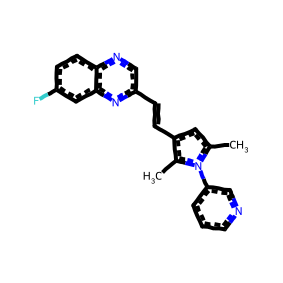 Cc1cc(C=Cc2cnc3ccc(F)cc3n2)c(C)n1-c1cccnc1